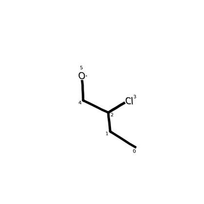 CCC(Cl)C[O]